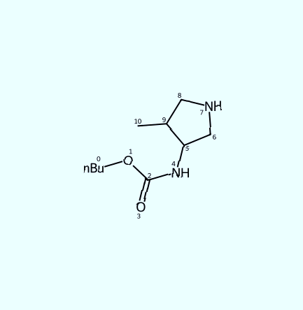 CCCCOC(=O)NC1CNCC1C